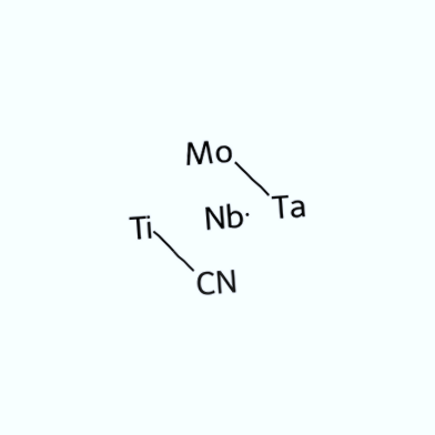 N#[C][Ti].[Mo][Ta].[Nb]